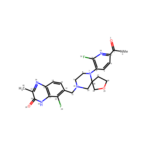 CNC(=O)c1ccc(N2CCN(Cc3ccc4nc(C)c(=O)[nH]c4c3F)CC23CCOC3)c(F)n1